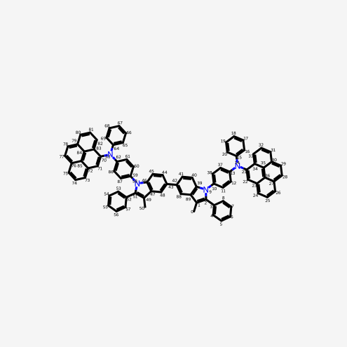 Cc1c(-c2ccccc2)n(-c2ccc(N(c3ccccc3)c3cc4cccc5ccc6cccc3c6c54)cc2)c2ccc(-c3ccc4c(c3)c(C)c(-c3ccccc3)n4-c3ccc(N(c4ccccc4)c4cc5cccc6ccc7cccc4c7c65)cc3)cc12